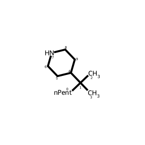 CCCCCC(C)(C)C1CCNCC1